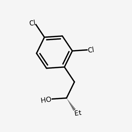 CC[C@H](O)Cc1ccc(Cl)cc1Cl